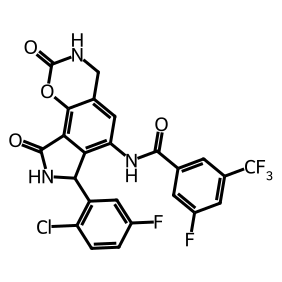 O=C1NCc2cc(NC(=O)c3cc(F)cc(C(F)(F)F)c3)c3c(c2O1)C(=O)NC3c1cc(F)ccc1Cl